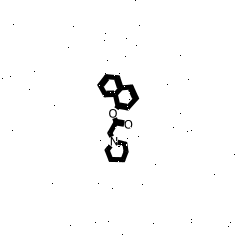 O=C(CN1CCCCC1)Oc1cccc2ccccc12